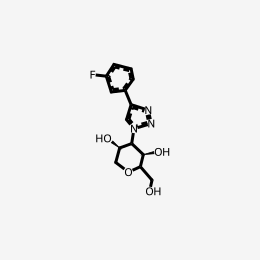 OCC1OC[C@@H](O)C(n2cc(-c3cccc(F)c3)nn2)[C@H]1O